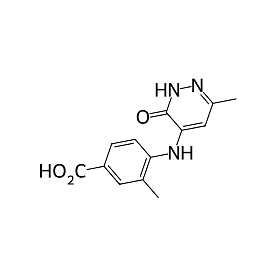 Cc1cc(Nc2ccc(C(=O)O)cc2C)c(=O)[nH]n1